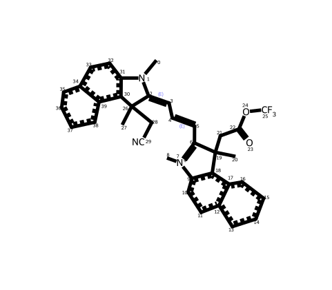 CN1/C(=C/C=C/C2=[N+](C)c3ccc4ccccc4c3C2(C)CC(=O)OC(F)(F)F)C(C)(CC#N)c2c1ccc1ccccc21